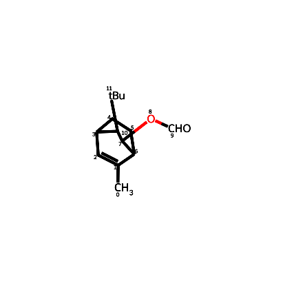 CC1=CC2CCC1C(OC=O)C2C(C)(C)C